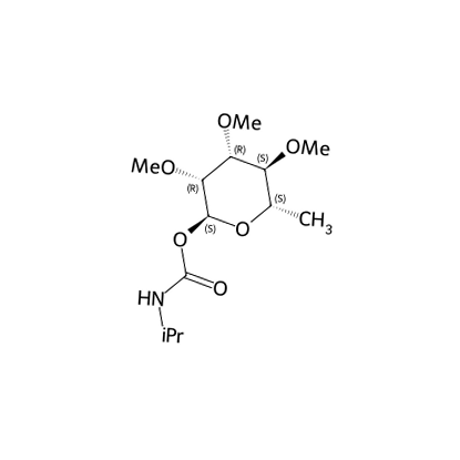 CO[C@@H]1[C@@H](OC)[C@H](C)O[C@@H](OC(=O)NC(C)C)[C@@H]1OC